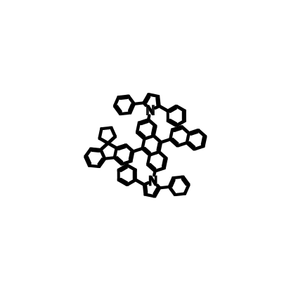 C1=CCCC(c2ccc(-c3ccccc3)n2-c2ccc3c(-c4ccc5ccccc5c4)c4cc(-n5c(-c6ccccc6)ccc5-c5ccccc5)ccc4c(-c4ccc5c(c4)C4(CCCC4)c4ccccc4-5)c3c2)=C1